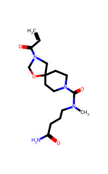 C=CC(=O)N1COC2(CCN(C(=O)N(C)CCCC(N)=O)CC2)C1